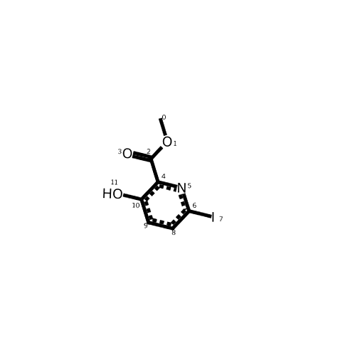 COC(=O)c1nc(I)ccc1O